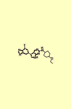 CCOC1CCC(Nc2ncc3c(-c4cc(F)c5ncnn5c4)c[nH]c3n2)CC1